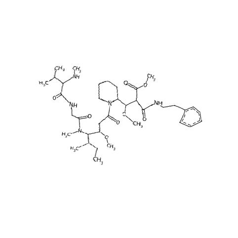 CCC(C)C(C(CC(=O)N1CCCCC1C(OC)C(C(=O)NCCc1ccccc1)C(=O)OC)OC)N(C)C(=O)CNC(=O)C(NC)C(C)C